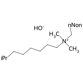 CCCCCCCCCC[N+](C)(C)CCCCCCC(C)C.[OH-]